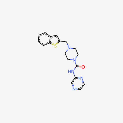 O=C(Nc1cnccn1)N1CCN(Cc2cc3ccccc3s2)CC1